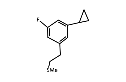 CSCCc1cc(F)cc(C2CC2)c1